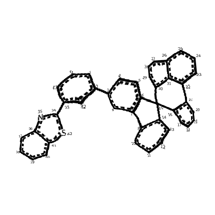 c1cc(-c2ccc3c(c2)-c2ccccc2C32c3ccccc3-c3cccc4cccc2c34)cc(-c2nc3ccccc3s2)c1